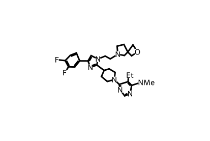 CCc1c(NC)ncnc1N1CCC(c2nc(-c3ccc(F)c(F)c3)cn2CCN2CCC3(COC3)C2)CC1